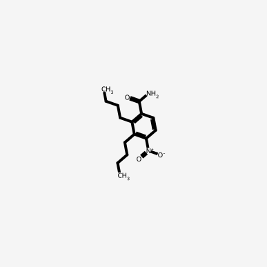 CCCCc1c(C(N)=O)ccc([N+](=O)[O-])c1CCCC